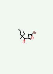 CCCC(C)(CC)C(=O)c1coc(Br)c1